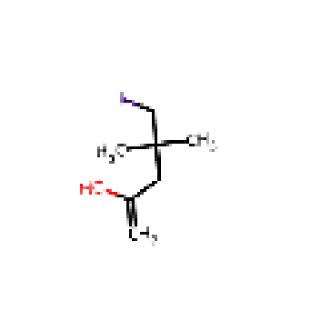 C=C(O)CC(C)(C)CI